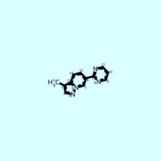 Cc1cnn2cc(-c3ncccn3)ccc12